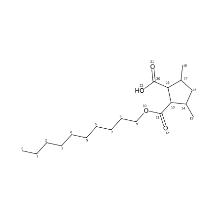 CCCCCCCCCCOC(=O)C1C(C)CC(C)C1C(=O)O